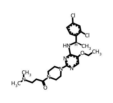 CCOc1cnc(N2CCN(C(=O)CCN(C)C)CC2)nc1N[C@H](C)c1ccc(Cl)cc1Cl